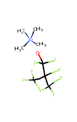 C[N+](C)(C)C.[O-]C(F)(F)C(F)(C(F)(F)F)C(F)(F)F